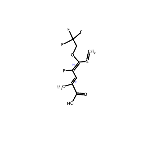 C=N/C(OCC(F)(F)F)=C(F)\C=C(/C)C(=O)O